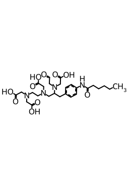 CCCCCC(=O)Nc1ccc(CC(CN(CCN(CC(=O)O)CC(=O)O)CC(=O)O)N(CC=O)CC(=O)O)cc1